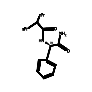 CCCC(CCC)C(=O)N[C@H](C(N)=O)c1ccccc1